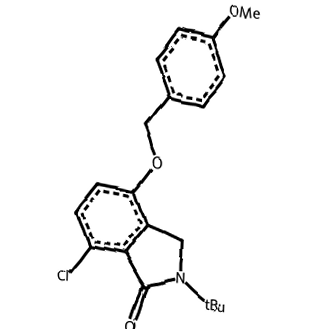 COc1ccc(COc2ccc(Cl)c3c2CN(C(C)(C)C)C3=O)cc1